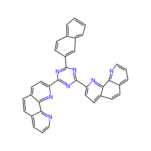 c1ccc2cc(-c3nc(-c4ccc5ccc6cccnc6c5n4)nc(-c4ccc5ccc6cccnc6c5n4)n3)ccc2c1